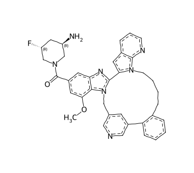 COc1cc(C(=O)N2C[C@H](N)C[C@@H](F)C2)cc2nc3n(c12)Cc1cncc(c1)-c1ccccc1CCCCn1c-3cc2cccnc21